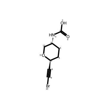 O=C(O)N[C@@H]1CC[C@@H](C#CBr)OC1